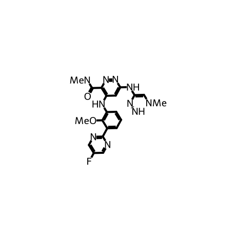 CN/C=C(\N=N)Nc1cc(Nc2cccc(-c3ncc(F)cn3)c2OC)c(C(=O)NC)nn1